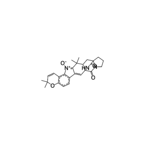 CC1(C)C=Cc2c(ccc3c2[N+]([O-])=C2C3=CC34NC(=O)C5(CCCN5C3=O)CC4C2(C)C)O1